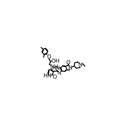 CCN1CCC(N2Cc3cc4nc(-c5c(NCC(O)COc6ccc(C)cc6C)cc[nH]c5=O)[nH]c4cc3C2=O)CC1